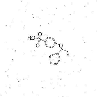 C=CC(Oc1ccc(S(=O)(=O)O)cc1)c1ccccc1